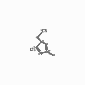 C[n+]1cn(CC#N)cn1.[Cl-]